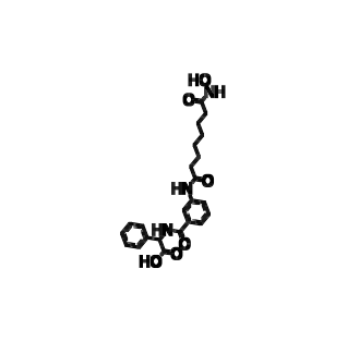 O=C(CCCCCCC(=O)Nc1cccc(C(=O)NC(C(=O)O)c2ccccc2)c1)NO